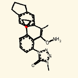 C/C(=C(\ON)c1c(C2CC2)cccc1-n1nnn(C)c1=O)c1ccc2c(c1)CCC2